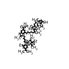 C=C(CN1C(=C)CC(S)C1=O)NC(CCC=O)C(=C)NC(C)C(=C)CCCCCc1cc(C(N)=O)cc2nc(C)n(C/C=C/Cn3c(NC(=C)C4=C(CC)N=C(C)C4)nc4cc(C(=C)C)cc(CC)c43)c12